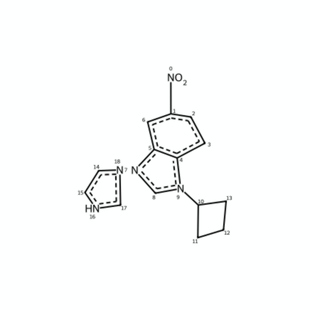 O=[N+]([O-])c1ccc2c(c1)ncn2C1CCC1.c1c[nH]cn1